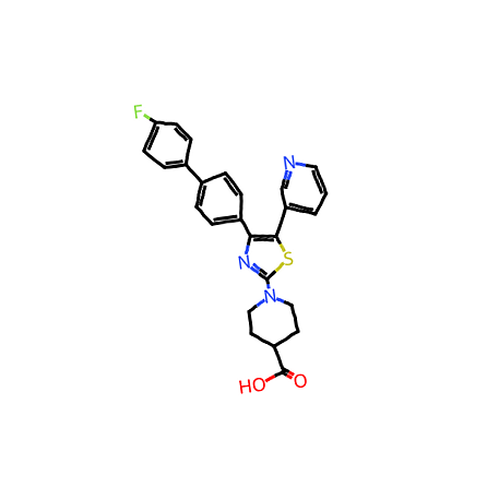 O=C(O)C1CCN(c2nc(-c3ccc(-c4ccc(F)cc4)cc3)c(-c3cccnc3)s2)CC1